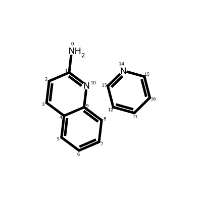 Nc1ccc2ccccc2n1.c1ccncc1